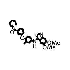 COc1cc2ncnc(Nc3ccc(Oc4cccc(C(=O)N5CCCCC5)c4)c(C)c3)c2cc1OC